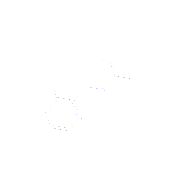 CC(C)NCc1ncccc1F